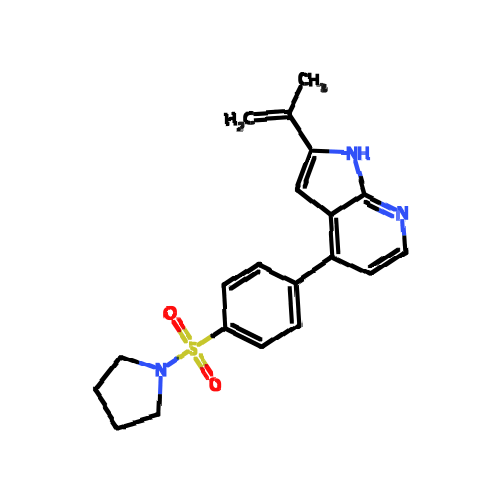 C=C(C)c1cc2c(-c3ccc(S(=O)(=O)N4CCCC4)cc3)ccnc2[nH]1